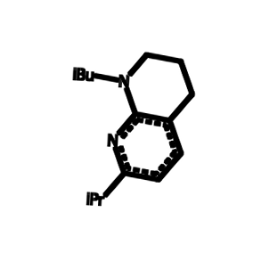 CCC(C)N1CCCc2ccc(C(C)C)nc21